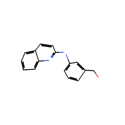 OCc1cccc(Nc2ccc3ccccc3n2)c1